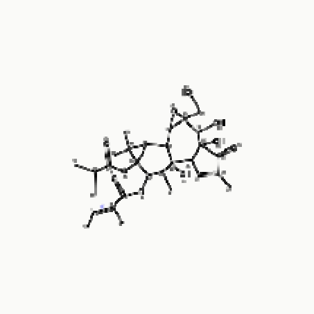 C/C=C(\C)C(=O)OC1C(C)C2(O)C(C3OC3(CO)C(O)C3(O)C(=O)C(C)=CC32)C2C(C)(C)C12OC(=O)C(C)C